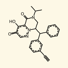 C#Cc1cccc(C(c2ccccc2)C2CN(C(C)C)C(=O)c3c(O)c(=O)cnn32)c1